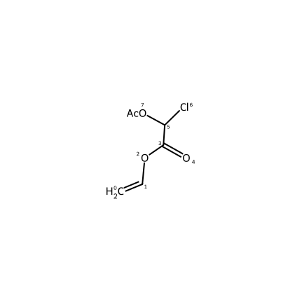 C=COC(=O)C(Cl)OC(C)=O